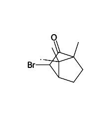 [CH2]C1(C)C2CCC1(C)C(=O)C2Br